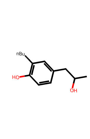 CCCCc1cc(CC(C)O)ccc1O